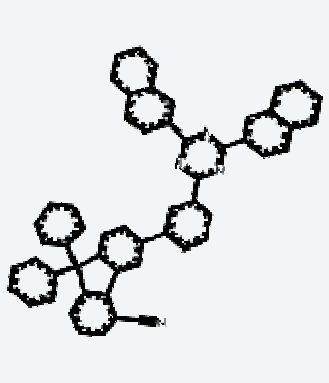 N#Cc1cccc2c1-c1cc(-c3cccc(-c4nc(-c5ccc6ccccc6c5)nc(-c5ccc6ccccc6c5)n4)c3)ccc1C2(c1ccccc1)c1ccccc1